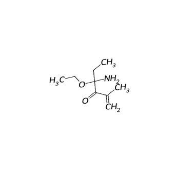 C=C(C)C(=O)C(N)(CC)OCC